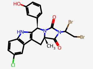 C[C@@]12Cc3c([nH]c4ccc(Cl)cc34)[C@@H](c3cccc(O)c3)N1C(=O)N(C(Br)CBr)C2=O